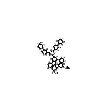 CC(C)(C)c1ccc2c(c1)c1cc(C(C)(C)C)ccc1n2-c1c(-c2ccccc2)cc(-c2nc(-c3ccc(-c4ccccc4)cc3)nc(-c3ccc4oc5ccccc5c4c3)n2)cc1-c1ccccc1